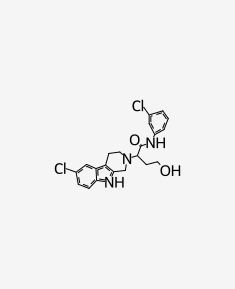 O=C(Nc1cccc(Cl)c1)C(CCO)N1CCc2c([nH]c3ccc(Cl)cc23)C1